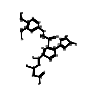 C=C(C)/C=C(C)\C=C(/C)c1cc(C(=O)NCc2ccc(OC)c(OC)c2)c(-c2cnn(C)c2)cn1